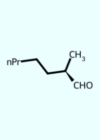 CCCCC[C@@H](C)C=O